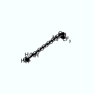 NCc1cc(Oc2cccc(C(=O)NCCOCCOCCOCCOCCOCCOCCOCCOCCOCCOCCOCCNC(=O)CCCC[C@@H]3SC[C@@H]4NC(=O)N[C@@H]43)c2)nc(C(F)(F)F)c1